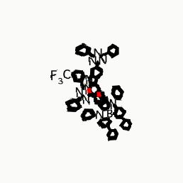 FC(F)(F)c1ccc(-n2c3ccc(-c4cc5c6c(c4)N(c4ccccc4)c4ccc(-c7ccccc7)cc4B6c4cc(-c6ccccc6)ccc4N5c4ccccc4)cc3c3ccc(-c4nc(-c5ccccc5)nc(-c5ccccc5)n4)cc32)c(-c2nc(-c3ccccc3)nc(-c3ccccc3)n2)c1